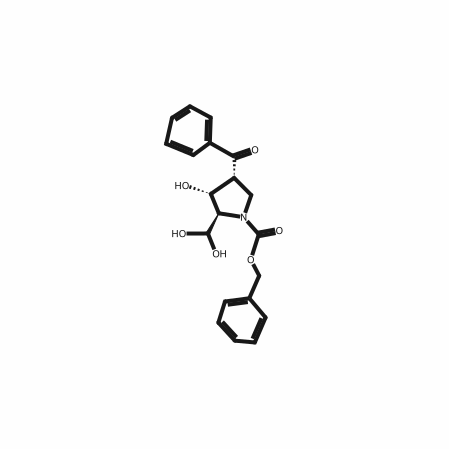 O=C(c1ccccc1)[C@@H]1CN(C(=O)OCc2ccccc2)[C@@H](C(O)O)[C@@H]1O